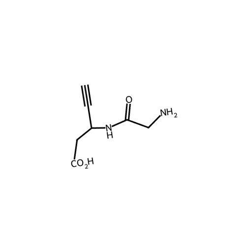 C#CC(CC(=O)O)NC(=O)CN